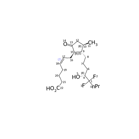 CCCC(F)(F)[C@H](O)CCC[C@H]1[C@H](C)CC(=O)[C@@H]1C/C=C\CCCC(=O)O